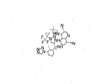 Cc1c([C@H](Nc2cc(C#N)c3ncc(C#N)c(NCC(C)(C)C)c3c2)C2=CN(C3(C(F)(F)F)CC3)NN2)cccc1-n1cnnn1